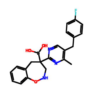 Cc1nc(C2(B(O)O)CNOc3ccccc3C2)ncc1Cc1ccc(F)cc1